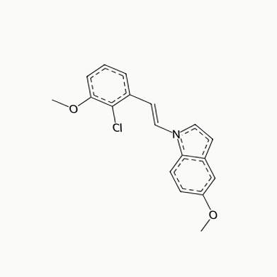 COc1ccc2c(ccn2/C=C/c2cccc(OC)c2Cl)c1